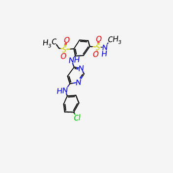 CCS(=O)(=O)c1ccc(S(=O)(=O)NC)cc1Nc1cc(Nc2ccc(Cl)cc2)ncn1